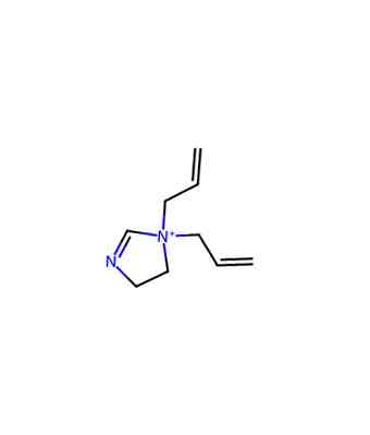 C=CC[N+]1(CC=C)C=NCC1